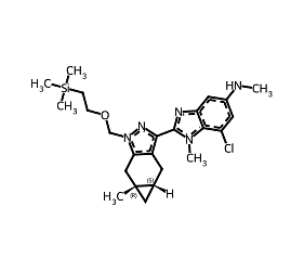 CNc1cc(Cl)c2c(c1)nc(-c1nn(COCC[Si](C)(C)C)c3c1C[C@@H]1C[C@]1(C)C3)n2C